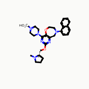 CN1CCC[C@H]1COc1nc2c(c(N3CCN(C(=O)O)CC3)n1)OCCN(c1cccc3ccccc13)C2